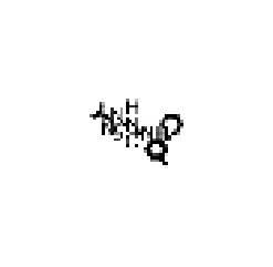 Cc1ccc(NC(=O)Nc2nc(C(C)C)ns2)c(N2CCCCC2)c1